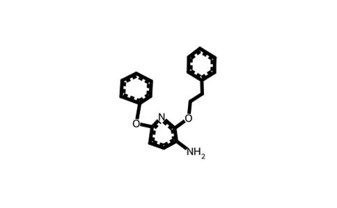 Nc1ccc(Oc2ccccc2)nc1OCCc1ccccc1